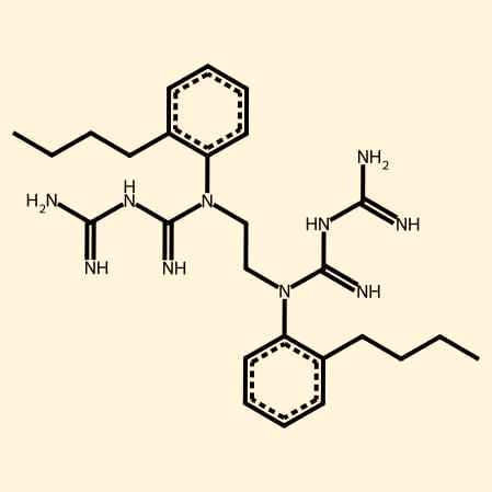 CCCCc1ccccc1N(CCN(C(=N)NC(=N)N)c1ccccc1CCCC)C(=N)NC(=N)N